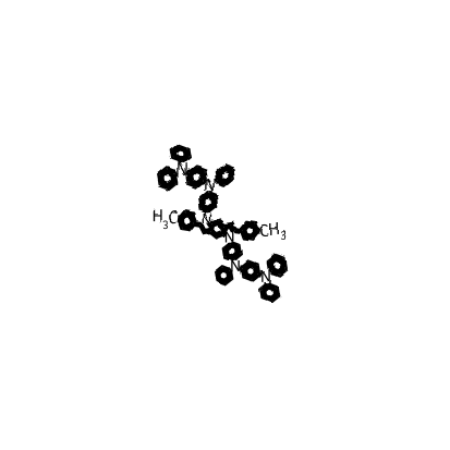 Cc1ccc(-c2cc3cc4c(cc(-c5ccc(C)cc5)n4-c4ccc(N(c5ccccc5)c5ccc(N(c6ccccc6)c6ccccc6)cc5)cc4)cc3n2-c2ccc(N(c3ccccc3)c3ccc(N(c4ccccc4)c4ccccc4)cc3)cc2)cc1